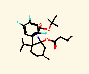 CCCC(=O)OC1(NC(=O)OC(C)(C)C)C[C@@H](C)CCC1(c1cc(F)c(F)cc1F)C(C)C